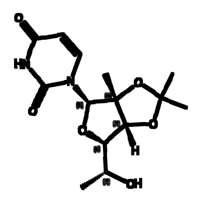 C[C@@H](O)[C@H]1O[C@@H](n2ccc(=O)[nH]c2=O)[C@]2(C)OC(C)(C)O[C@H]12